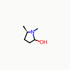 C[C@@H]1CCC(O)N1C